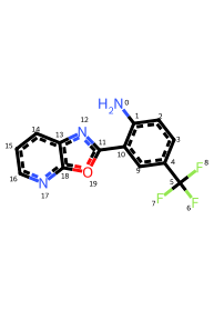 Nc1ccc(C(F)(F)F)cc1-c1nc2cccnc2o1